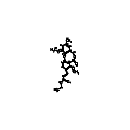 CCOC(=O)/C=C/c1ccc2c(c1OC)C(=O)OCc1cc(C)cc(OC)c1O2